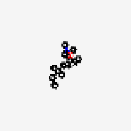 CC1(C)c2ccccc2-c2c1c1c(c3c2oc2c(N(c4ccccc4)c4ccccc4)cccc23)-c2ccc(-c3c4ccccc4c(-c4cccc(-c5ccccc5)c4)c4ccccc34)cc2C1(C)C